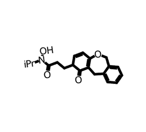 CC(C)N(O)C(=O)CCC1C=CC2=C(Cc3ccccc3CO2)C1=O